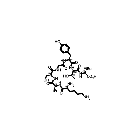 CC[C@H](C)[C@H](NC(=O)[C@@H](NC(=O)[C@H](Cc1ccc(O)cc1)NC(=O)CNC(=O)[C@H](CO)NC(=O)[C@@H](NC(=O)[C@@H](N)CCCCN)C(C)C)[C@@H](C)O)C(=O)O